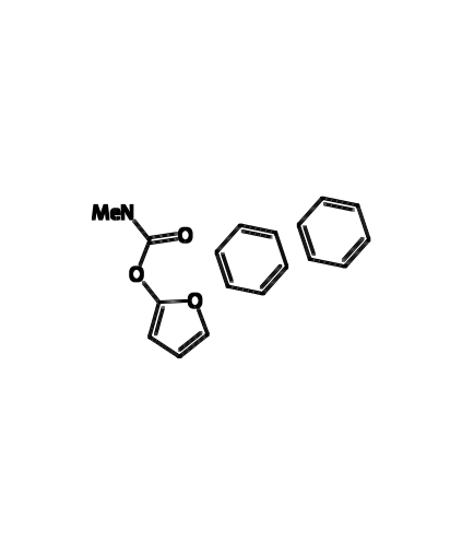 CNC(=O)Oc1ccco1.c1ccccc1.c1ccccc1